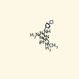 CC(N)Cc1nc2c(NCc3ccc(Cl)cc3)nc(N)nc2n1C(C)C